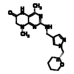 Cc1nc(NCc2cnn(C[C@H]3CCCCO3)c2)nc2c1NC(=O)CN2C